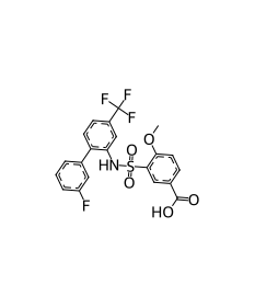 COc1ccc(C(=O)O)cc1S(=O)(=O)Nc1cc(C(F)(F)F)ccc1-c1cccc(F)c1